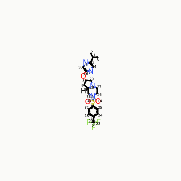 CC(C)c1cnc(O[C@H]2C[C@H]3CN(S(=O)(=O)c4ccc(C(F)(F)F)cc4)CCN3C2)cn1